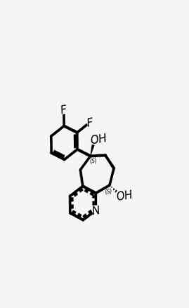 O[C@H]1CC[C@@](O)(C2=C(F)C(F)CC=C2)Cc2cccnc21